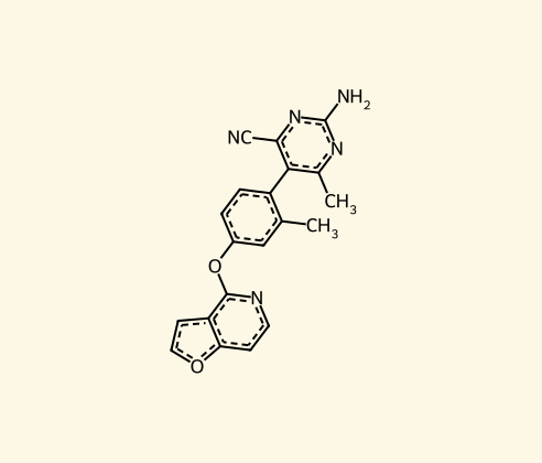 Cc1cc(Oc2nccc3occc23)ccc1-c1c(C)nc(N)nc1C#N